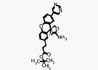 CC(C)(C)OC(=O)CCc1ccc2c(c1)[C@]1(COC(N)=N1)c1cc(-c3cncnc3)ccc1O2